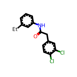 CCc1cccc(NC(=O)Cc2ccc(Cl)c(Cl)c2)c1